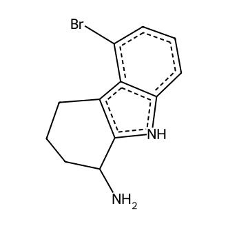 NC1CCCc2c1[nH]c1cccc(Br)c21